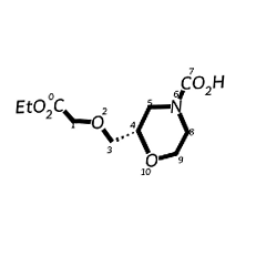 CCOC(=O)COC[C@@H]1CN(C(=O)O)CCO1